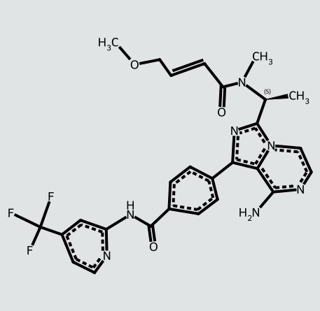 COCC=CC(=O)N(C)[C@@H](C)c1nc(-c2ccc(C(=O)Nc3cc(C(F)(F)F)ccn3)cc2)c2c(N)nccn12